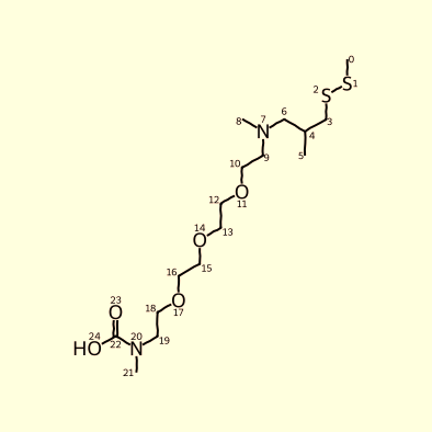 CSSCC(C)CN(C)CCOCCOCCOCCN(C)C(=O)O